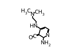 CN(C)CCNC1=CC=NC(N)C1=C=O